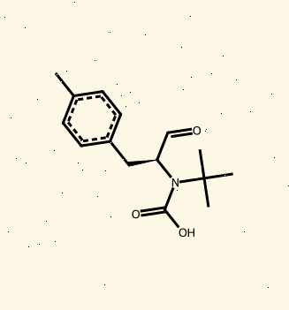 Cc1ccc(C[C@@H](C=O)N(C(=O)O)C(C)(C)C)cc1